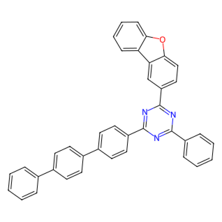 c1ccc(-c2ccc(-c3ccc(-c4nc(-c5ccccc5)nc(-c5ccc6oc7ccccc7c6c5)n4)cc3)cc2)cc1